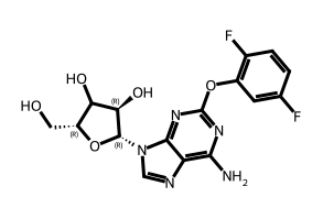 Nc1nc(Oc2cc(F)ccc2F)nc2c1ncn2[C@@H]1O[C@H](CO)C(O)[C@H]1O